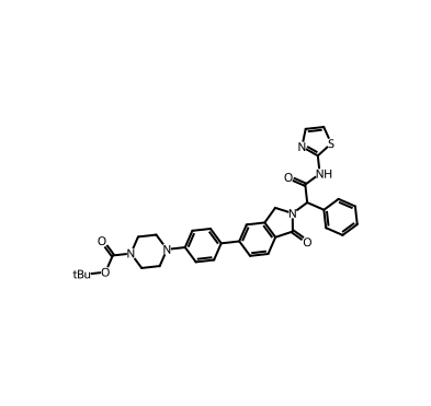 CC(C)(C)OC(=O)N1CCN(c2ccc(-c3ccc4c(c3)CN(C(C(=O)Nc3nccs3)c3ccccc3)C4=O)cc2)CC1